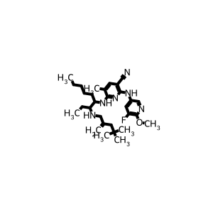 C=C(CNC(CC)C(CCCCC)Nc1nc(Nc2cnc(OC)c(F)c2)c(C#N)cc1C)CC(C)(C)C